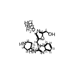 Cl.Cl.Cl.O.OCc1ncc(Cn2c(NC3CCNCC3)nc3ccccc32)o1